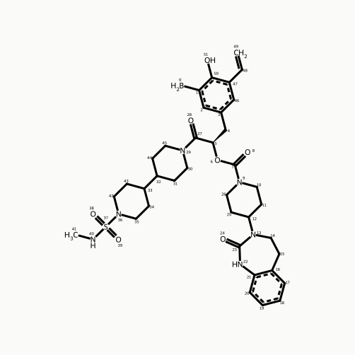 Bc1cc(C[C@@H](OC(=O)N2CCC(N3CCc4ccccc4NC3=O)CC2)C(=O)N2CCC(C3CCN(S(=O)(=O)NC)CC3)CC2)cc(C=C)c1O